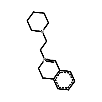 C1=[N+](CCN2CCCCC2)CCc2ccccc21